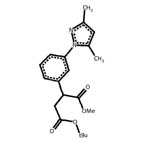 COC(=O)C(CC(=O)OC(C)(C)C)c1cccc(-n2nc(C)cc2C)c1